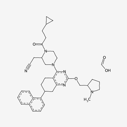 CN1CCCC1COc1nc2c(c(N3CCN(C(=O)CCC4CC4)C(CC#N)C3)n1)CCC(c1cccc3ccccc13)C2.O=CO